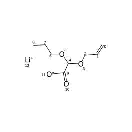 C=CCOC(OCC=C)C(=O)[O-].[Li+]